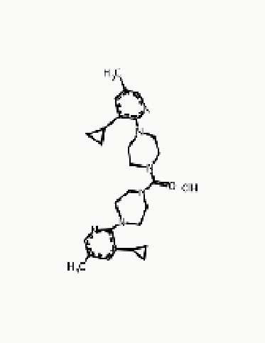 Cc1cnc(N2CCN(C(=O)N3CCN(c4ncc(C)cc4C4CC4)CC3)CC2)c(C2CC2)c1.Cl